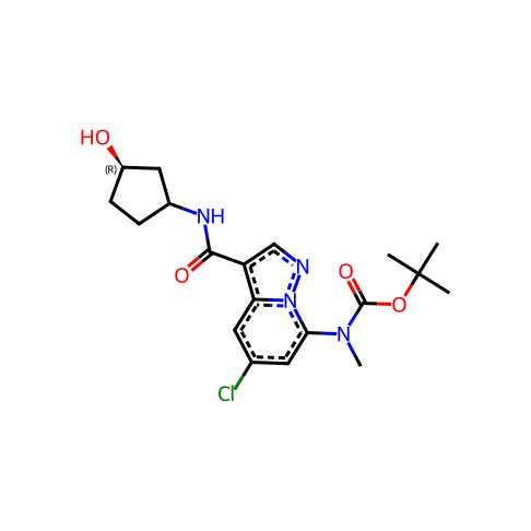 CN(C(=O)OC(C)(C)C)c1cc(Cl)cc2c(C(=O)NC3CC[C@@H](O)C3)cnn12